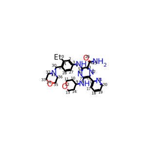 CCc1cc(Nc2nc(NC3CCOCC3)c(-c3ccccn3)nc2C(N)=O)ccc1CN1CCOCC1